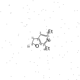 CCc1cc2c(c(CC)n1)O[C@H](C)C2